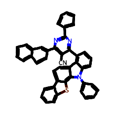 N#Cc1c(-c2ccc3ccccc3c2)nc(-c2ccccc2)nc1-c1cccc2c1c1ccc3c4ccccc4sc3c1n2-c1ccccc1